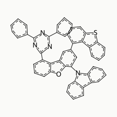 c1ccc(-c2nc(-c3ccccc3)nc(-c3cccc4oc5c(-n6c7ccccc7c7ccccc76)cc(-c6cccc7sc8ccccc8c67)cc5c34)n2)cc1